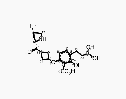 O=C(O)c1c(OC2CN(C(=O)[C@@H]3C[C@H](F)CN3)C2)ccc(CCB(O)O)c1O